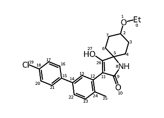 CCOC1CCC2(CC1)NC(=O)C(c1cc(-c3ccc(Cl)cc3)ccc1C)=C2O